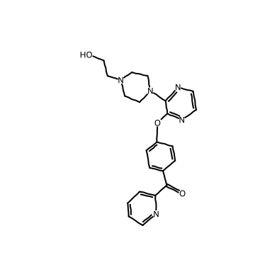 O=C(c1ccc(Oc2nccnc2N2CCN(CCO)CC2)cc1)c1ccccn1